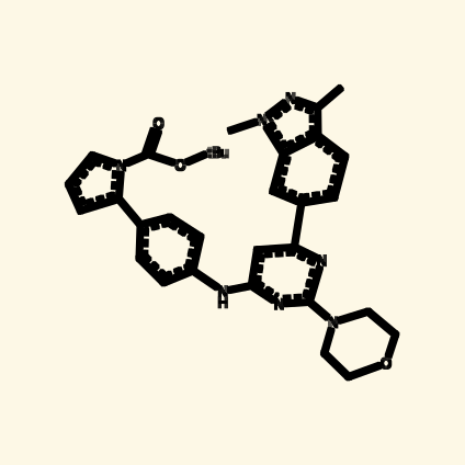 Cc1nn(C)c2cc(-c3cc(Nc4ccc(-c5cccn5C(=O)OC(C)(C)C)cc4)nc(N4CCOCC4)n3)ccc12